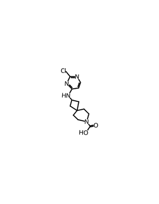 O=C(O)N1CCC2(CC1)CC(Nc1ccnc(Cl)n1)C2